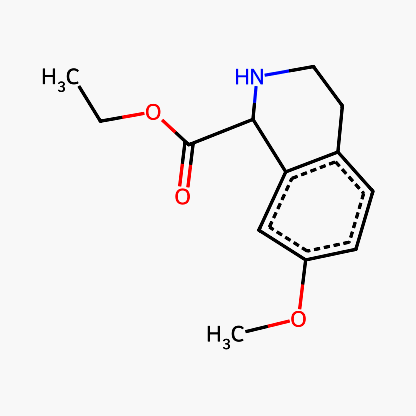 CCOC(=O)C1NCCc2ccc(OC)cc21